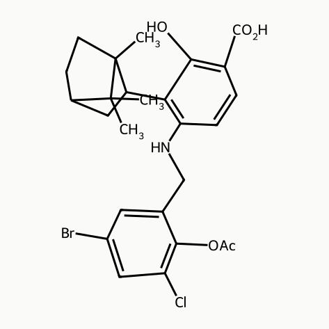 CC(=O)Oc1c(Cl)cc(Br)cc1CNc1ccc(C(=O)O)c(O)c1C1CC2CCC1(C)C2(C)C